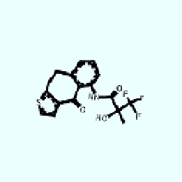 CC(O)(C(=O)Nc1cccc2c1C(=O)c1ccsc1CC2)C(F)(F)F